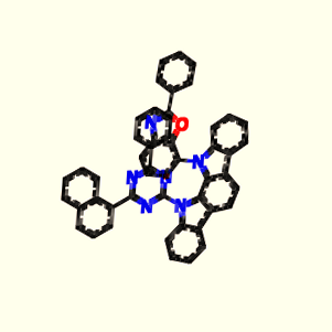 c1ccc(-c2nc(-c3cccc4ccccc34)nc(-n3c4ccccc4c4ccc5c6ccccc6n(-c6cccc7nc(-c8ccccc8)oc67)c5c43)n2)cc1